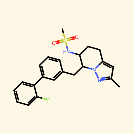 Cc1cc2n(n1)C(Cc1cccc(-c3ccccc3F)c1)C(NS(C)(=O)=O)CC2